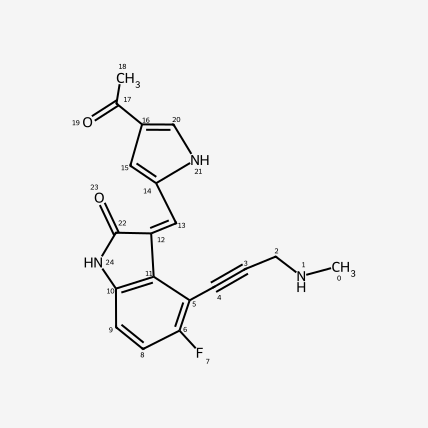 CNCC#Cc1c(F)ccc2c1C(=Cc1cc(C(C)=O)c[nH]1)C(=O)N2